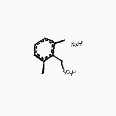 Cc1cccc(C)c1CS(=O)(=O)O.[NaH]